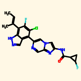 C/C=C(\C)c1c(F)c(Cl)c(-c2cn3cc(NC(=O)C4CC4F)nc3cn2)c2cn[nH]c12